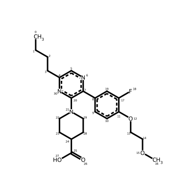 CCCCc1cnc(-c2ccc(OCCOC)c(F)c2)c(N2CCC(C(=O)O)CC2)n1